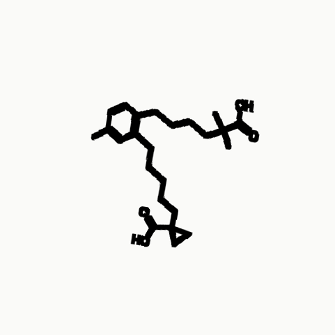 Cc1ccc(CCCCC(C)(C)C(=O)O)c(CCCCCC2(C(=O)O)CC2)c1